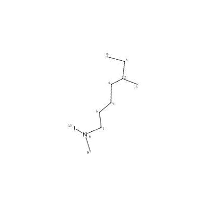 CCC(C)CCCCN(C)I